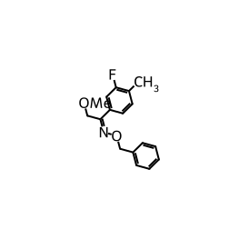 COCC(=NOCc1ccccc1)c1ccc(C)c(F)c1